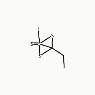 CCC12SS1(=S)(I)S2